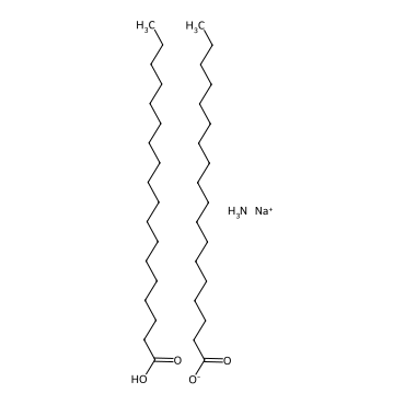 CCCCCCCCCCCCCCCCCC(=O)O.CCCCCCCCCCCCCCCCCC(=O)[O-].N.[Na+]